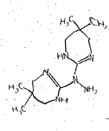 CC1(C)CN=C(N(N)C2=NCC(C)(C)CN2)NC1